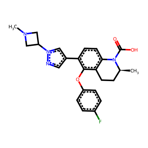 C[C@H]1CCc2c(ccc(-c3cnn(C4CN(C)C4)c3)c2Oc2ccc(F)cc2)N1C(=O)O